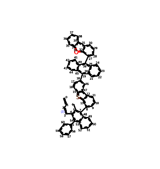 C=C/C=C\c1c(C)c(-c2cccc3c2sc2ccc(-c4c5ccccc5c(-c5cccc6c5oc5ccccc56)c5ccccc45)cc23)c2ccccc2c1-c1ccccc1